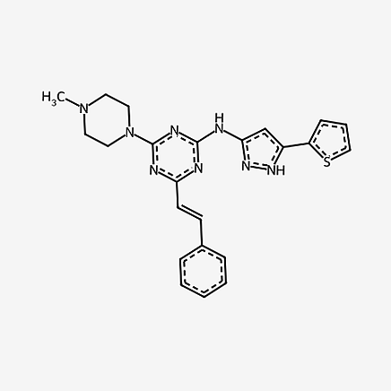 CN1CCN(c2nc(/C=C/c3ccccc3)nc(Nc3cc(-c4cccs4)[nH]n3)n2)CC1